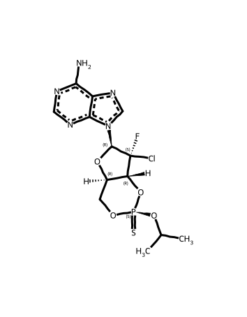 CC(C)O[P@@]1(=S)OC[C@H]2O[C@@H](n3cnc4c(N)ncnc43)[C@@](F)(Cl)[C@@H]2O1